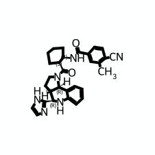 Cc1cc(C(=O)N[C@@H]2CCCC[C@@H]2C(=O)N2CC[C@@H]3[C@H](c4ncc[nH]4)Nc4ccccc4[C@@H]32)ccc1C#N